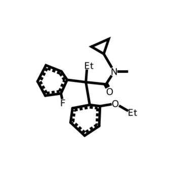 CCOc1ccccc1C(CC)(C(=O)N(C)C1CC1)c1ccccc1F